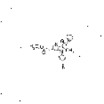 CCOC(=O)CCc1cnc2c(C(=O)CN3CCCCC3)c(C)n(-c3ccc(C#N)cc3)c2c1